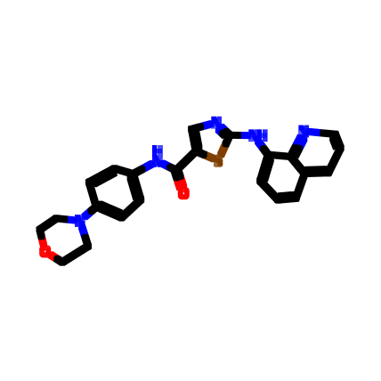 O=C(Nc1ccc(N2CCOCC2)cc1)c1cnc(Nc2cccc3cccnc23)s1